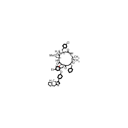 CCc1ccc(CN2C(=O)C[C@@H](Cc3ccccc3)C(=O)N(C)[C@@H](C)CNC(=O)C[C@H](Cc3ccc(Cl)cc3)N(C)C(=O)[C@H](COC)NC(=O)[C@@H]2C)c(Oc2ccc(-c3cnc(CN4CCCC4)n3C)cc2)c1